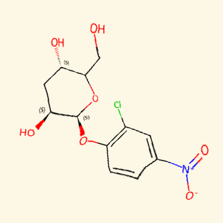 O=[N+]([O-])c1ccc(O[C@@H]2OC(CO)[C@@H](O)C[C@@H]2O)c(Cl)c1